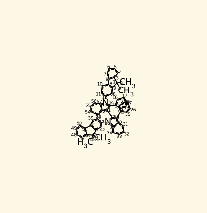 CC1(C)c2ccccc2-c2ccc(-n3c(-c4ccccc4)c(-c4c(-c5ccccc5)c5ccccc5n4-c4ccc5c(c4)C(C)(C)c4ccccc4-5)c4ccccc43)cc21